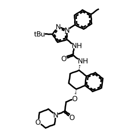 Cc1ccc(-n2nc(C(C)(C)C)cc2NC(=O)N[C@H]2CC[C@@H](OCC(=O)N3CCOCC3)c3ccccc32)cc1